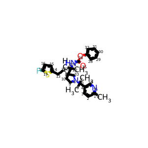 Cc1ccc(C(C)(C)N2CC[C@@](CCc3ccc(F)s3)(C(C)(C)NC(=O)Oc3ccccc3)C2)cn1